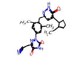 Cc1cc(-n2nc(C#N)c(=O)[nH]c2=O)cc(C)c1Cc1cc(C2CCCC2C)c(=O)[nH]n1